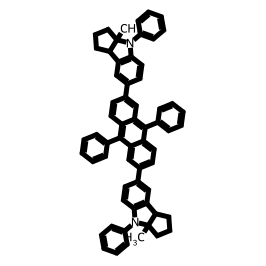 CC12CCCC1c1cc(-c3ccc4c(-c5ccccc5)c5cc(-c6ccc7c(c6)C6CCCC6(C)N7c6ccccc6)ccc5c(-c5ccccc5)c4c3)ccc1N2c1ccccc1